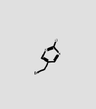 Clc1ncc(CBr)cn1